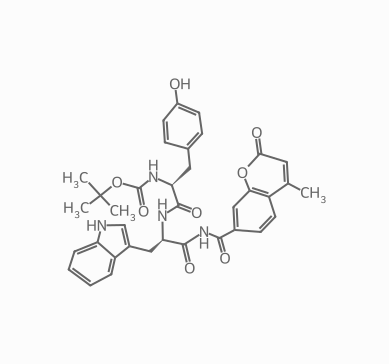 Cc1cc(=O)oc2cc(C(=O)NC(=O)[C@@H](Cc3c[nH]c4ccccc34)NC(=O)[C@H](Cc3ccc(O)cc3)NC(=O)OC(C)(C)C)ccc12